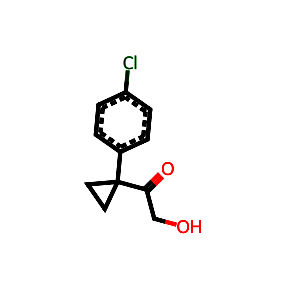 O=C(CO)C1(c2ccc(Cl)cc2)CC1